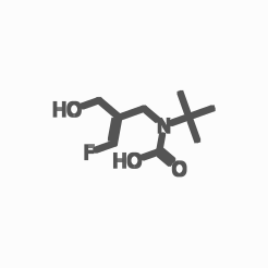 CC(C)(C)N(CC(=CF)CO)C(=O)O